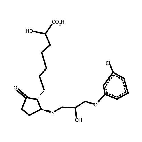 O=C(O)C(O)CCCCC[C@H]1C(=O)CC[C@@H]1SCC(O)COc1cccc(Cl)c1